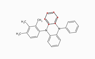 Cc1ccc(N(c2ccccc2)c2ccccc2N(c2ccccc2)c2ccccc2)c(C)c1C